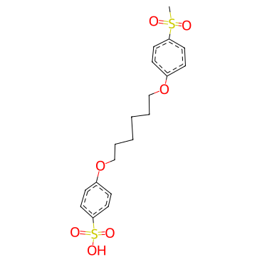 CS(=O)(=O)c1ccc(OCCCCCCOc2ccc(S(=O)(=O)O)cc2)cc1